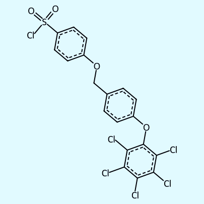 O=S(=O)(Cl)c1ccc(OCc2ccc(Oc3c(Cl)c(Cl)c(Cl)c(Cl)c3Cl)cc2)cc1